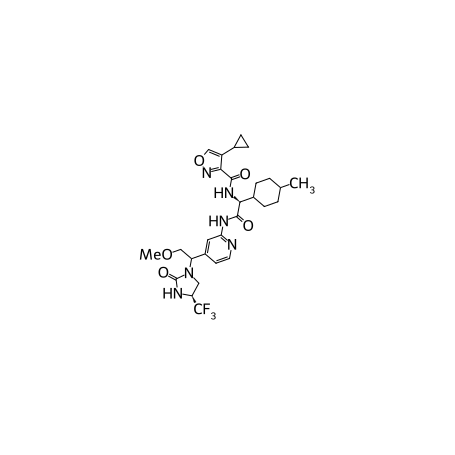 COCC(c1ccnc(NC(=O)[C@@H](NC(=O)c2nocc2C2CC2)C2CCC(C)CC2)c1)N1C[C@@H](C(F)(F)F)NC1=O